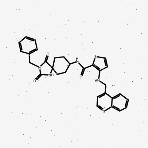 O=C(NC1CCC2(CC1)NC(=O)N(Cc1ccccc1)C2=O)c1sccc1NCc1ccnc2ccccc12